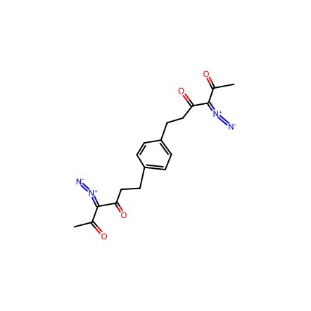 CC(=O)C(=[N+]=[N-])C(=O)CCc1ccc(CCC(=O)C(=[N+]=[N-])C(C)=O)cc1